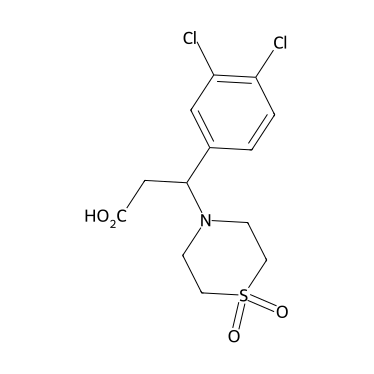 O=C(O)CC(c1ccc(Cl)c(Cl)c1)N1CCS(=O)(=O)CC1